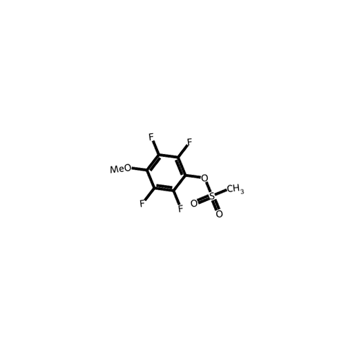 COc1c(F)c(F)c(OS(C)(=O)=O)c(F)c1F